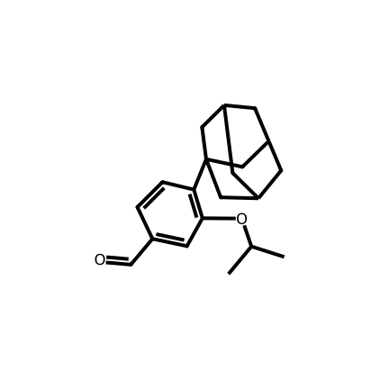 CC(C)Oc1cc(C=O)ccc1C12CC3CC(CC(C3)C1)C2